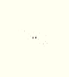 CC(C)C(NC(=O)OCC(C)(C)C)C(=O)NC1COCCNC(=O)C1=O